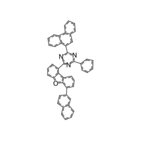 c1ccc(-c2nc(-c3cc4ccccc4c4ccccc34)nc(-c3cccc4oc5c(-c6ccc7ccccc7c6)cccc5c34)n2)cc1